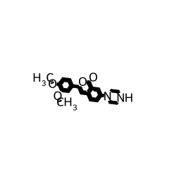 COc1ccc(-c2cc3ccc(N4CCNCC4)cc3c(=O)o2)cc1OC